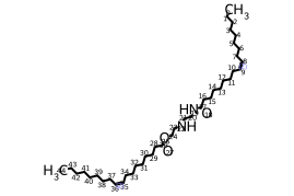 CCCCCCCC/C=C\CCCCCCCC(=O)NCCNCCOC(=O)CCCCCCC/C=C\CCCCCCCC